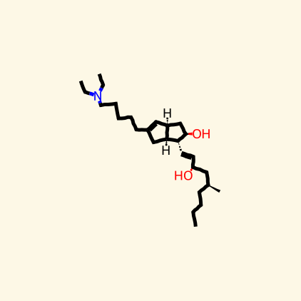 CCCC[C@H](C)C[C@H](O)/C=C/[C@@H]1[C@H]2CC(CCCCCN(CC)CC)=C[C@H]2C[C@H]1O